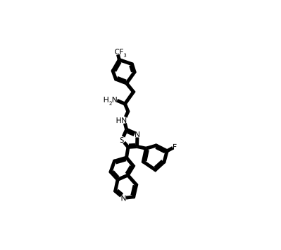 NC(CNc1nc(-c2cccc(F)c2)c(-c2ccc3cnccc3c2)s1)Cc1ccc(C(F)(F)F)cc1